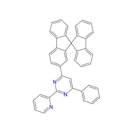 c1ccc(-c2cc(-c3ccc4c(c3)C3(c5ccccc5-c5ccccc53)c3ccccc3-4)nc(-c3ccccn3)n2)cc1